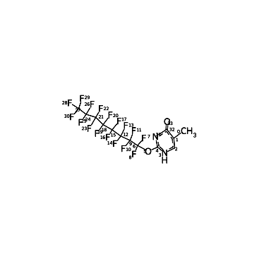 Cc1c[nH]c(OC(F)(F)C(F)(F)C(F)(F)C(F)(F)C(F)(F)C(F)(F)C(F)(F)C(F)(F)F)nc1=O